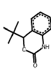 CC(C)(C)C1OC(=O)Nc2ccccc21